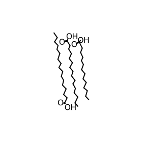 CCCCCCCCCCCCCC(=O)O.CCCCCCCCCCCCCCCC(=O)O.CCCCCCCCCCCCCCCCC(=O)O